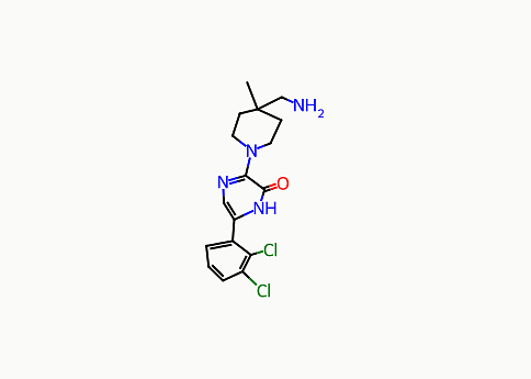 CC1(CN)CCN(c2ncc(-c3cccc(Cl)c3Cl)[nH]c2=O)CC1